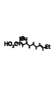 CCC=CCCCCC=C(C(=O)O)C(C)(C)C